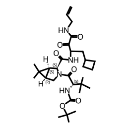 C=CCNC(=O)C(=O)C(CC1CCC1)NC(=O)[C@@H]1[C@H]2[C@@H](CN1C(=O)[C@@H](NC(=O)OC(C)(C)C)C(C)(C)C)C2(C)C